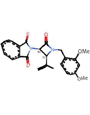 C=C(C)[C@H]1[C@@H](N2C(=O)c3ccccc3C2=O)C(=O)N1Cc1ccc(OC)cc1OC